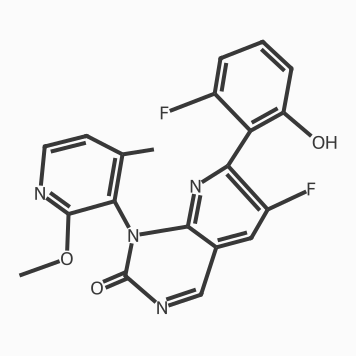 COc1nccc(C)c1-n1c(=O)ncc2cc(F)c(-c3c(O)cccc3F)nc21